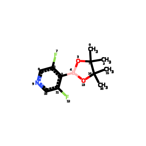 CC1(C)OB(c2c(F)cncc2F)OC1(C)C